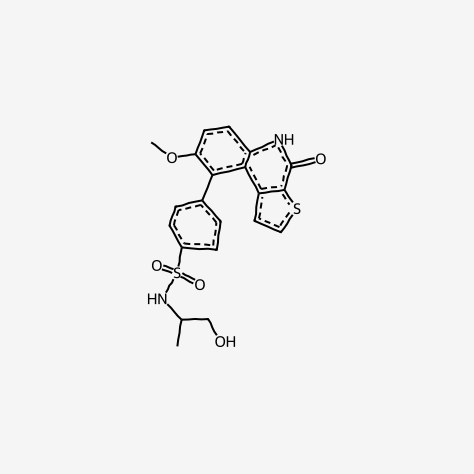 COc1ccc2[nH]c(=O)c3sccc3c2c1-c1ccc(S(=O)(=O)NC(C)CO)cc1